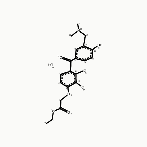 CCOC(=O)COc1ccc(C(=O)c2ccc(O)c(CN(C)C)c2)c(Cl)c1Cl.Cl